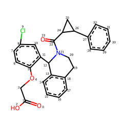 O=C(O)COc1ccc(Cl)cc1C1c2ccccc2CCN1C(=O)C1CC1c1ccccc1